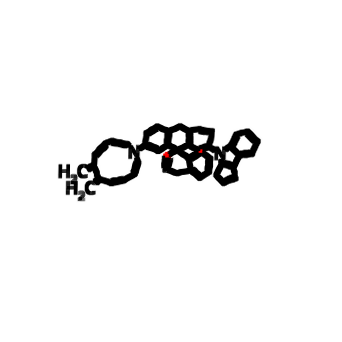 C=C1/C=C\C=C/N(c2ccc3c(c2)C2(c4ccccc4Cc4ccccc42)c2cc(-n4c5c(c6ccccc64)C=CC5)ccc2C3)/C=C\C=C/C1=C